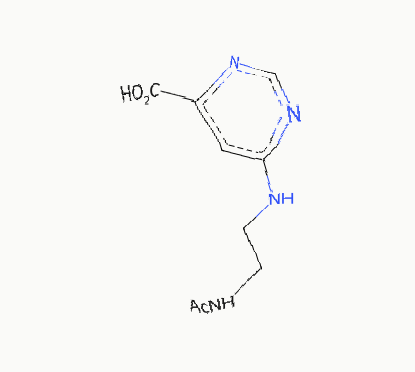 CC(=O)NCCNc1cc(C(=O)O)ncn1